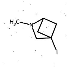 CN1CC2(I)CC1C2